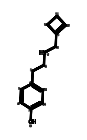 Oc1ccc(CCNCC2=CCC2)cc1